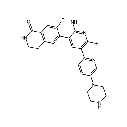 Nc1nc(F)c(-c2ccc(N3CCNCC3)cn2)cc1-c1cc2c(cc1F)C(=O)NCC2